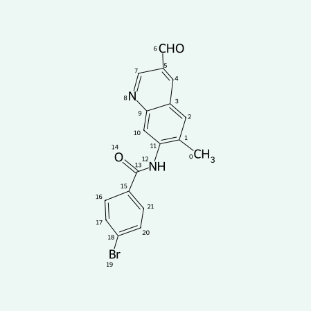 Cc1cc2cc(C=O)cnc2cc1NC(=O)c1ccc(Br)cc1